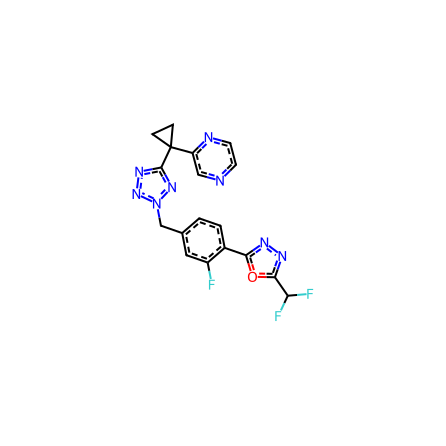 Fc1cc(Cn2nnc(C3(c4cnccn4)CC3)n2)ccc1-c1nnc(C(F)F)o1